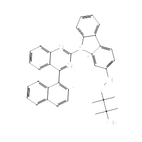 CC(C)(O)C(C)(C)OBc1ccc2c3ccccc3n(-c3nc(-c4cccc5ccccc45)c4ccccc4n3)c2c1